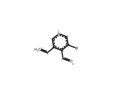 C=Cc1cncc(Br)c1C=O